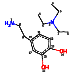 CCN(CC)CC.NCCc1ccc(O)c(O)c1